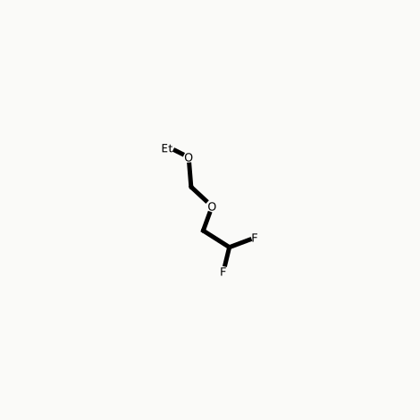 CCOCOCC(F)F